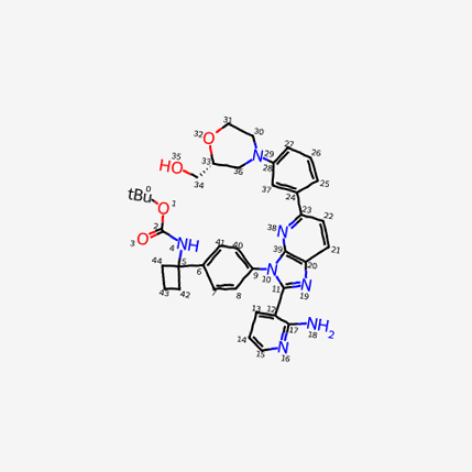 CC(C)(C)OC(=O)NC1(c2ccc(-n3c(-c4cccnc4N)nc4ccc(-c5cccc(N6CCO[C@@H](CO)C6)c5)nc43)cc2)CCC1